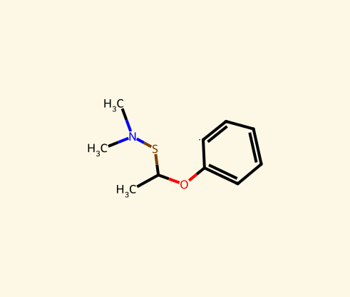 CC(Oc1[c]cccc1)SN(C)C